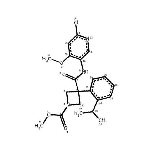 COC(=O)N1CC(C(=O)Nc2cnc(Cl)cc2OC)(c2ccccc2C(C)C)C1